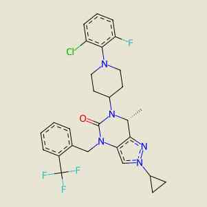 C[C@@H]1c2nn(C3CC3)cc2N(Cc2ccccc2C(F)(F)F)C(=O)N1C1CCN(c2c(F)cccc2Cl)CC1